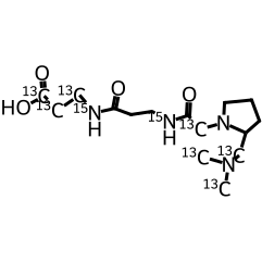 [13CH3]N([13CH3])[13CH2]C1CCCN1[13CH2]C(=O)[15NH]CCC(=O)[15NH][13CH2][13CH2][13C](=O)O